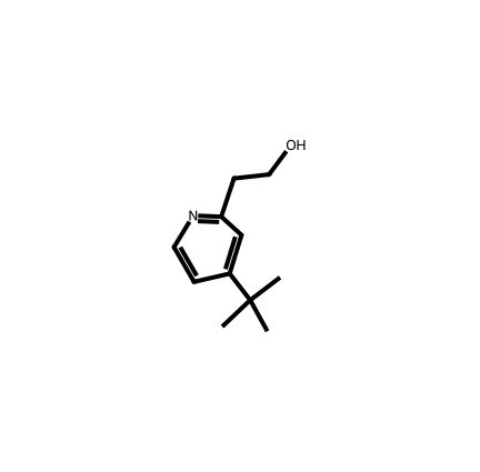 CC(C)(C)c1ccnc(CCO)c1